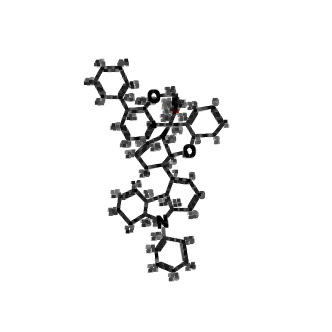 C1=CCC2OC3C(C4=CC=CC5C4C4C=CCCC4N5c4ccccc4)CC=CC3[C@]3(C2=C1)C1=C(C=CCC1)Oc1c(-c2ccccc2)cccc13